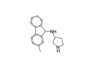 Cc1ccc2c(c1)C(NC1CCNC1)c1ccccc1-2